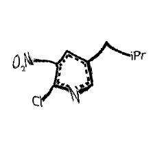 CC(C)Cc1cnc(Cl)c([N+](=O)[O-])c1